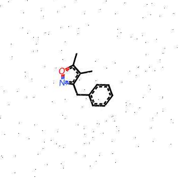 Cc1onc(Cc2ccccc2)c1C